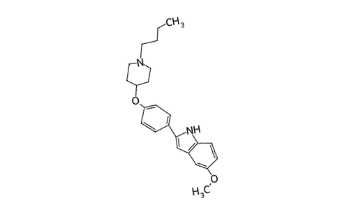 CCCCN1CCC(Oc2ccc(-c3cc4cc(OC)ccc4[nH]3)cc2)CC1